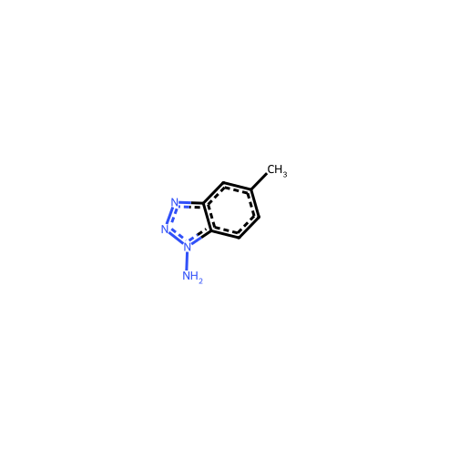 Cc1ccc2c(c1)nnn2N